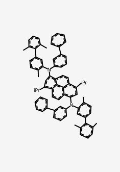 Cc1ccc(-c2c(C)cccc2C)cc1N(c1cccc(-c2ccccc2)c1)c1cc(C(C)C)c2ccc3c(N(c4cccc(-c5ccccc5)c4)c4cc(-c5c(C)cccc5C)ccc4C)cc(C(C)C)c4ccc1c2c43